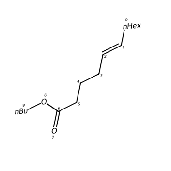 CCCCCCC=CCCCC(=O)OCCCC